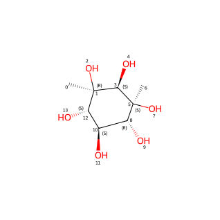 C[C@]1(O)[C@@H](O)[C@@](C)(O)[C@H](O)[C@@H](O)[C@@H]1O